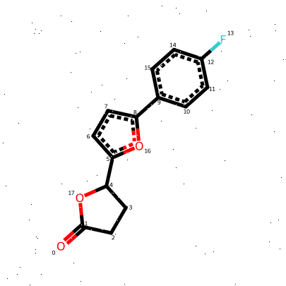 O=C1CCC(c2ccc(-c3ccc(F)cc3)o2)O1